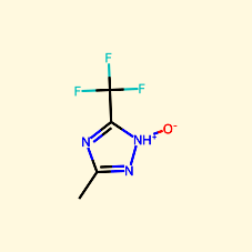 CC1=N[NH+]([O-])C(C(F)(F)F)=N1